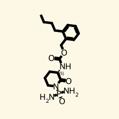 CCCCc1ccccc1COC(=O)N[C@H]1CCCN(P(N)(N)=O)C1=O